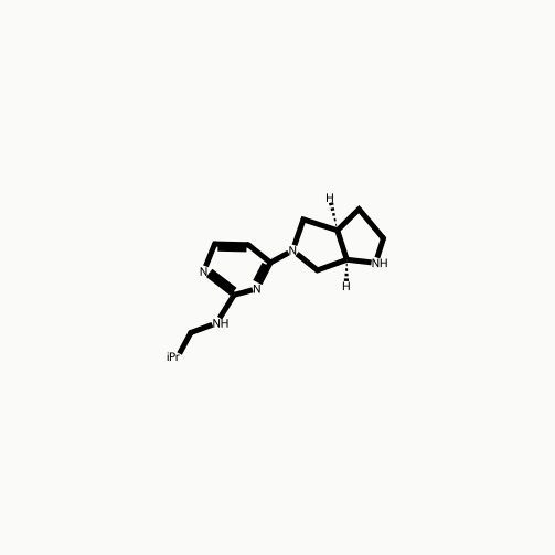 CC(C)CNc1nccc(N2C[C@H]3CCN[C@H]3C2)n1